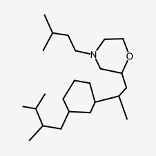 CC(C)CCN1CCOC(CC(C)C2CCCC(CC(C)C(C)C)C2)C1